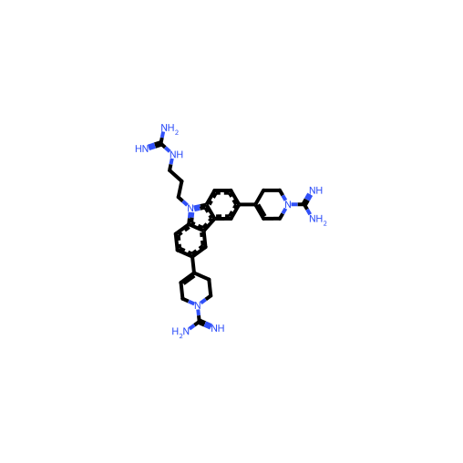 N=C(N)NCCCn1c2ccc(C3=CCN(C(=N)N)CC3)cc2c2cc(C3=CCN(C(=N)N)CC3)ccc21